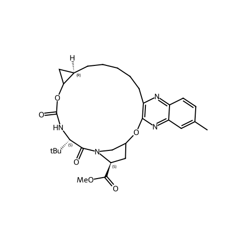 COC(=O)[C@@H]1CC2CN1C(=O)[C@H](C(C)(C)C)NC(=O)OC1C[C@H]1CCCCCc1nc3ccc(C)cc3nc1O2